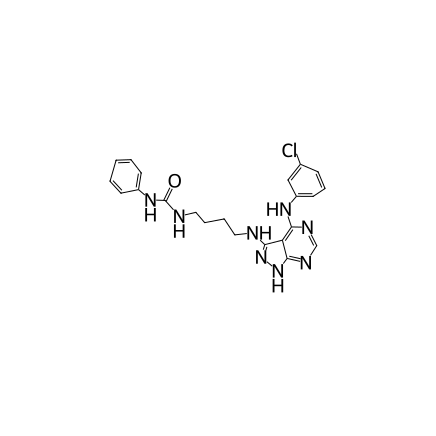 O=C(NCCCCNc1n[nH]c2ncnc(Nc3cccc(Cl)c3)c12)Nc1ccccc1